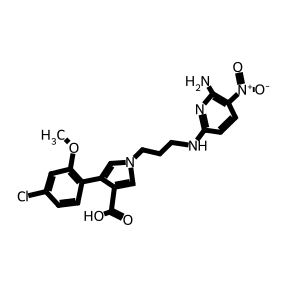 COc1cc(Cl)ccc1-c1cn(CCCNc2ccc([N+](=O)[O-])c(N)n2)cc1C(=O)O